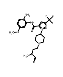 COc1ccc(N)c(NC(=O)c2cc(C(F)(F)F)nn2C2CCN(CCN(C)C=O)CC2)c1